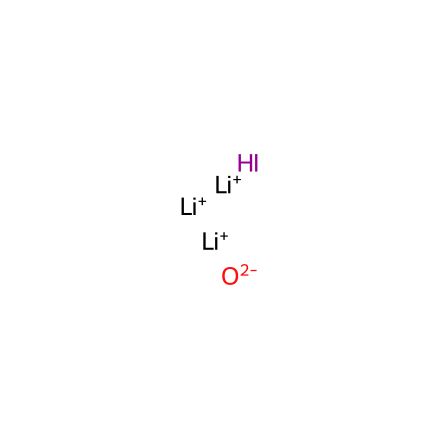 I.[Li+].[Li+].[Li+].[O-2]